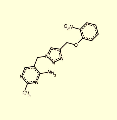 Cc1ncc(Cn2cc(COc3ccccc3[N+](=O)[O-])nn2)c(N)n1